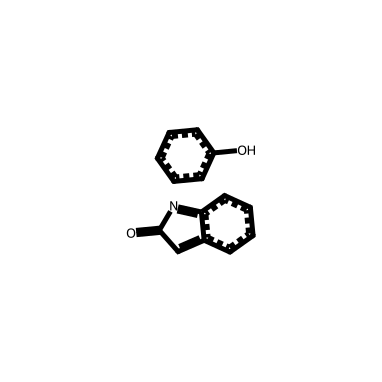 O=C1C=c2ccccc2=N1.Oc1ccccc1